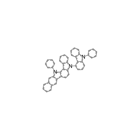 c1ccc(-n2c3ccccc3c3c(-n4c5ccccc5c5c4ccc4c6cc7ccccc7cc6n(-c6ccccc6)c45)cccc32)cc1